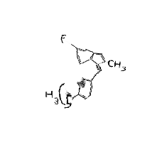 CSc1ccc(C=C2C(C)=Cc3cc(F)ccc32)cc1